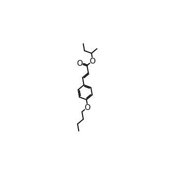 CCCCOc1ccc(C=CC(=O)OC(C)CC)cc1